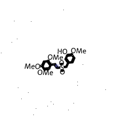 COc1cc(OC)c(/C=C/S(=O)(=O)Cc2ccc(OC)c(O)c2)c(OC)c1